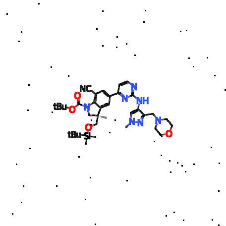 Cn1cc(Nc2nccc(-c3cc(C#N)c4c(c3)[C@@](C)(CO[Si](C)(C)C(C)(C)C)CN4C(=O)OC(C)(C)C)n2)c(CN2CCOCC2)n1